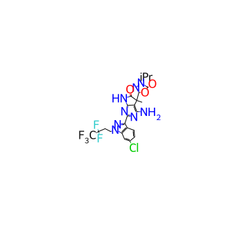 CC(C)n1nc(C2(C)C(=O)Nc3nc(-c4nn(CCC(F)(F)C(F)(F)F)c5cc(Cl)ccc45)nc(N)c32)oc1=O